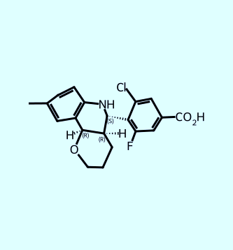 Cc1ccc2c(c1)[C@@H]1OCCC[C@@H]1[C@@H](c1c(F)cc(C(=O)O)cc1Cl)N2